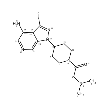 CN(C)CC(=O)N1CCC(n2nc(I)c3c(N)cncc32)CC1